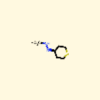 O=C(O)NN=C1CCSCC1